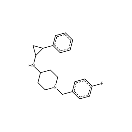 Fc1ccc(CN2CCC(NC3CC3c3ccccc3)CC2)cc1